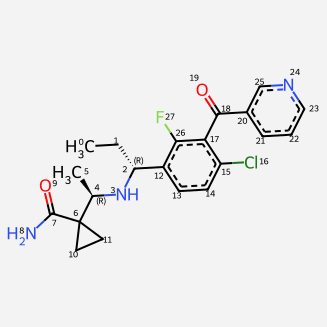 CC[C@@H](N[C@H](C)C1(C(N)=O)CC1)c1ccc(Cl)c(C(=O)c2cccnc2)c1F